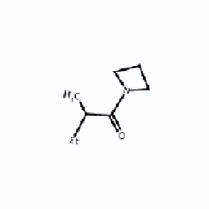 CCC(C)C(=O)N1CCC1